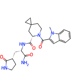 Cn1c(C(=O)N2CCC3(CC3)C[C@H]2C(=O)N[C@@H](C[C@@H]2CCNC2=O)C(N)=O)cc2ccccc21